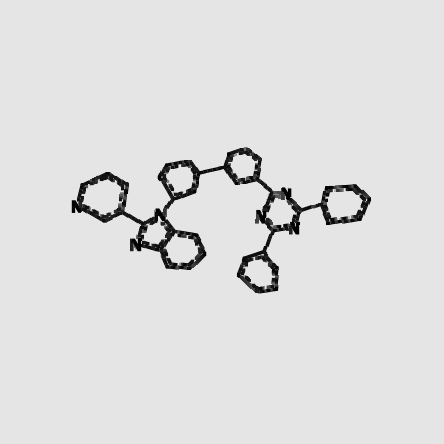 c1ccc(-c2nc(-c3ccccc3)nc(-c3cccc(-c4cccc(-n5c(-c6cccnc6)nc6ccccc65)c4)c3)n2)cc1